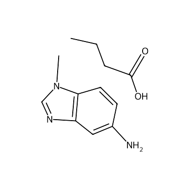 CCCC(=O)O.Cn1cnc2cc(N)ccc21